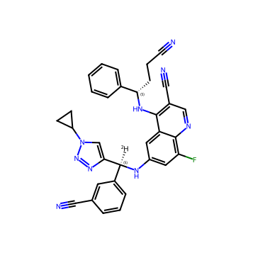 [2H][C@](Nc1cc(F)c2ncc(C#N)c(N[C@@H](CCC#N)c3ccccc3)c2c1)(c1cccc(C#N)c1)c1cn(C2CC2)nn1